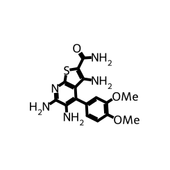 COc1ccc(-c2c(N)c(N)nc3sc(C(N)=O)c(N)c23)cc1OC